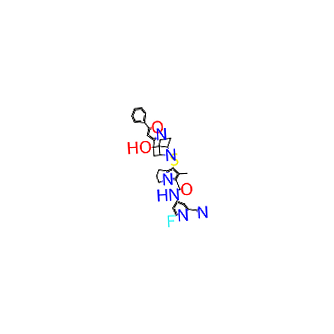 Cc1c(SN2C3CCC34C2CC4(O)c2cc(-c3ccccc3)on2)c2n(c1C(=O)Nc1cc(F)nc(C#N)c1)CCC2